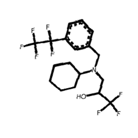 OC(CN(Cc1cccc(C(F)(F)C(F)(F)F)c1)C1CCCCC1)C(F)(F)F